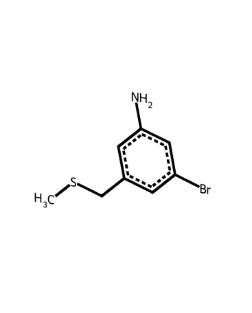 CSCc1cc(N)cc(Br)c1